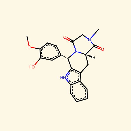 COc1ccc([C@H]2c3[nH]c4ccccc4c3C[C@H]3C(=O)N(C)CC(=O)N23)cc1O